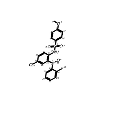 COc1ccc(S(=O)(=O)Nc2ccc(Cl)cc2[S+]([O-])c2ccccc2F)cc1